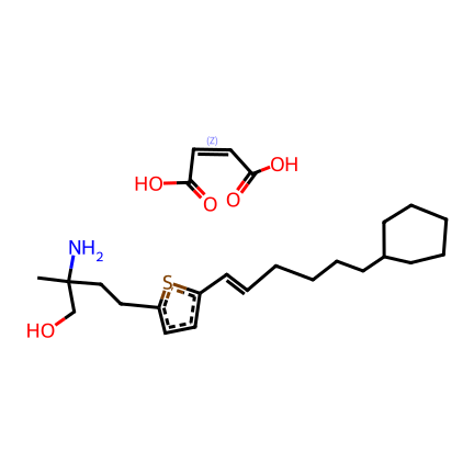 CC(N)(CO)CCc1ccc(C=CCCCCC2CCCCC2)s1.O=C(O)/C=C\C(=O)O